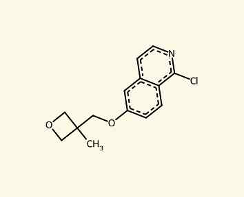 CC1(COc2ccc3c(Cl)nccc3c2)COC1